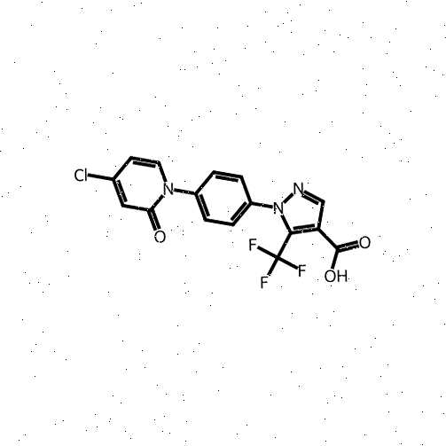 O=C(O)c1cnn(-c2ccc(-n3ccc(Cl)cc3=O)cc2)c1C(F)(F)F